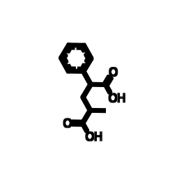 CC(CC(C(=O)O)c1ccccc1)C(=O)O